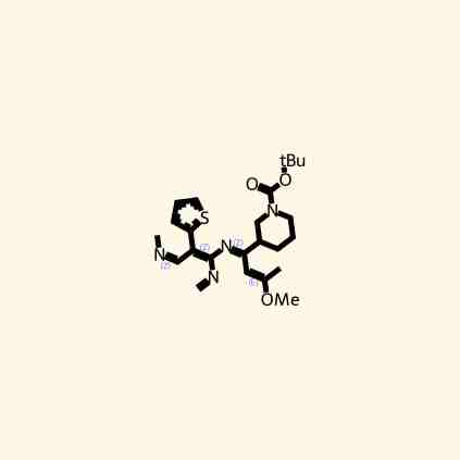 C=NC(/N=C(\C=C(/C)OC)C1CCCN(C(=O)OC(C)(C)C)C1)=C(\C=N/C)c1cccs1